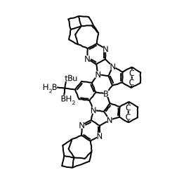 BC(B)(c1cc2c3c(c1)-n1c4nc5c(nc4n4c6c(c(c14)B3c1c3c(n4c7nc8c(nc7n-2c14)C1CC2CC4CC8CC24C1)C1CCC3CC1)C1CCC6CC1)C1CC2CC3CC5CC32C1)C(C)(C)C